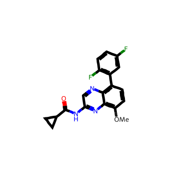 COc1ccc(-c2cc(F)ccc2F)c2ncc(NC(=O)C3CC3)nc12